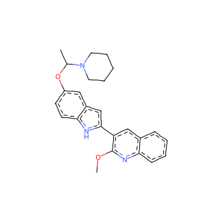 COc1nc2ccccc2cc1-c1cc2cc(OC(C)N3CCCCC3)ccc2[nH]1